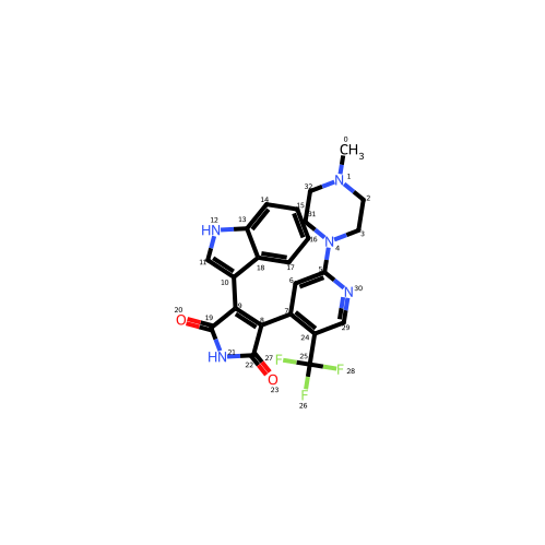 CN1CCN(c2cc(C3=C(c4c[nH]c5ccccc45)C(=O)NC3=O)c(C(F)(F)F)cn2)CC1